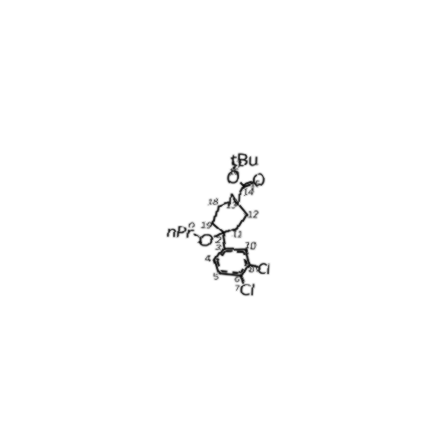 CCCOC1(c2ccc(Cl)c(Cl)c2)CCN(C(=O)OC(C)(C)C)CC1